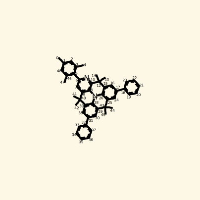 Cc1cc(C)c(-c2cc3c4c(n2)C(C)(C)c2cc(-c5ccccc5)cc5c2N4c2c(cc(-c4ccccc4)cc2C3(C)C)C5(C)C)c(C)c1